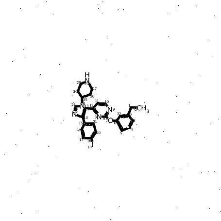 CCc1cccc(Oc2nccc(-c3c(-c4ccc(I)cc4)ncn3C3CCNCC3)n2)c1